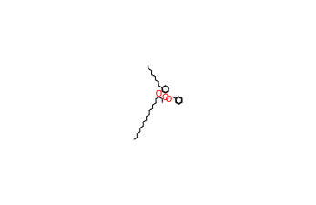 CCCCCCCCCCCCCCCC(Oc1ccccc1CCCCCCCC)C(C)OOCc1ccccc1